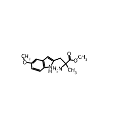 COC(=O)C(C)(N)Cc1cc2cc(OC)ccc2[nH]1